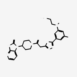 COCCN(C)c1cc(Cl)cc(-c2nnc(CC(=O)N3CCC(n4c(=O)[nH]c5ncccc54)CC3)o2)c1